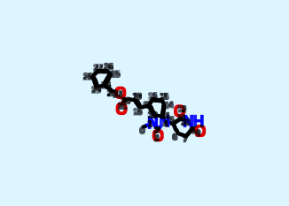 Cn1c(=O)n(C2CCC(=O)NC2=O)c2cccc(/C=C/C(=O)OCc3ccccc3)c21